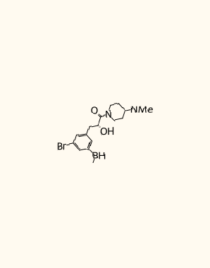 CBc1cc(Br)cc(C[C@@H](O)C(=O)N2CCC(NC)CC2)c1